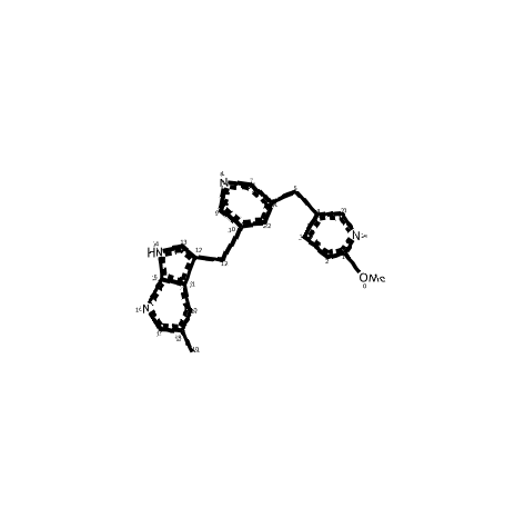 COc1ccc(Cc2[c]ncc(Cc3c[nH]c4ncc(C)cc34)c2)cn1